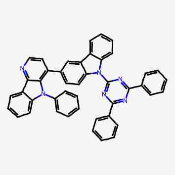 c1ccc(-c2nc(-c3ccccc3)nc(-n3c4ccccc4c4cc(-c5ccnc6c7ccccc7n(-c7ccccc7)c56)ccc43)n2)cc1